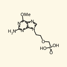 COc1nc(N)nc2c1ncn2CCOCP(=O)(O)O